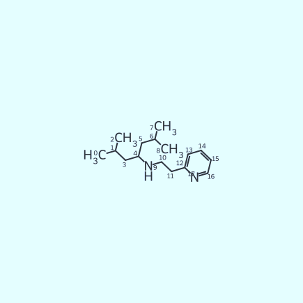 CC(C)CC(CC(C)C)NCCc1ccccn1